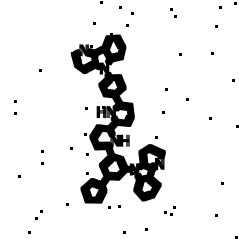 C1=CC(C2C=CC=C(c3cc(-c4ccccc4)cc(-n4c5ccccc5c5ncccc54)c3)N2)NC(c2ccc(-n3c4ccccc4c4ncccc43)cc2)=C1